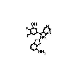 Nc1cccc2c1CC(n1nc3ncncc3c1-c1cc(O)c(F)c(F)c1)C2